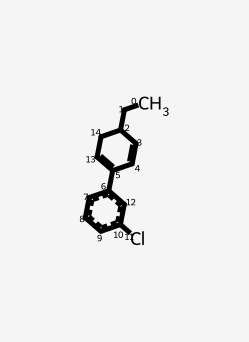 CCC1C=CC(c2cccc(Cl)c2)=CC1